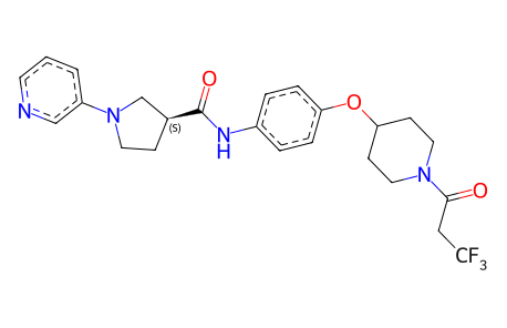 O=C(Nc1ccc(OC2CCN(C(=O)CC(F)(F)F)CC2)cc1)[C@H]1CCN(c2cccnc2)C1